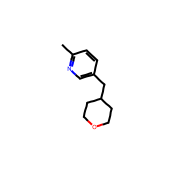 Cc1ccc(CC2CCOCC2)cn1